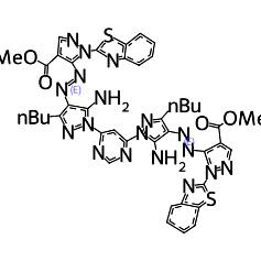 CCCCc1nn(-c2cc(-n3nc(CCCC)c(/N=N/c4c(C(=O)OC)cnn4-c4nc5ccccc5s4)c3N)ncn2)c(N)c1/N=N/c1c(C(=O)OC)cnn1-c1nc2ccccc2s1